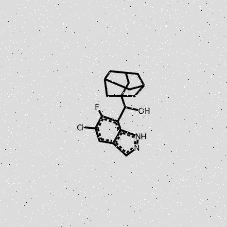 OC(c1c(F)c(Cl)cc2cn[nH]c12)C12CC3CC(CC(C3)C1)C2